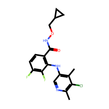 Cc1ncc(Nc2c(C(=O)NOCC3CC3)ccc(F)c2F)c(C)c1Cl